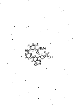 CNC(=O)c1cc(Nc2nccc(-c3cc(C#N)c4c(c3)[C@@](C)(CO[Si](C)(C)C(C)(C)C)CN4)n2)c(F)cc1F